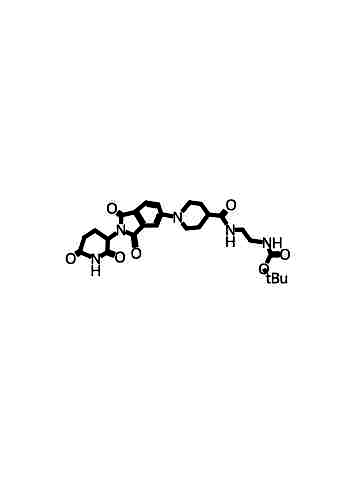 CC(C)(C)OC(=O)NCCNC(=O)C1CCN(c2ccc3c(c2)C(=O)N(C2CCC(=O)NC2=O)C3=O)CC1